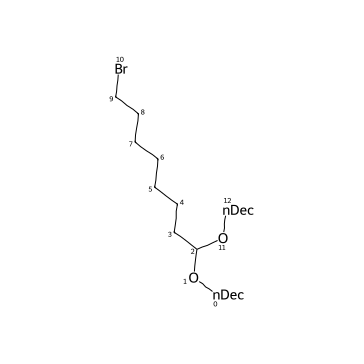 CCCCCCCCCCOC(CCCCCCCBr)OCCCCCCCCCC